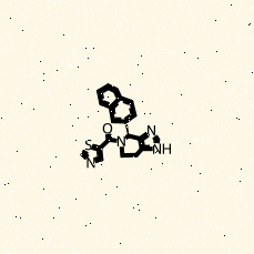 O=C(c1cncs1)N1CCc2[nH]cnc2[C@@H]1c1ccc2ccccc2c1